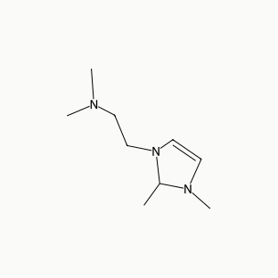 CC1N(C)C=CN1CCN(C)C